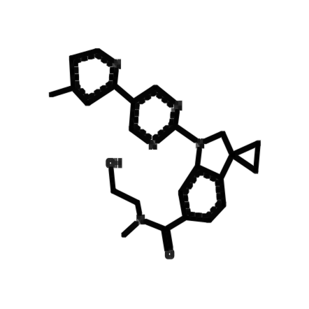 Cc1ccnc(-c2cnc(N3CC4(CC4)c4ccc(C(=O)N(C)CCO)cc43)nc2)c1